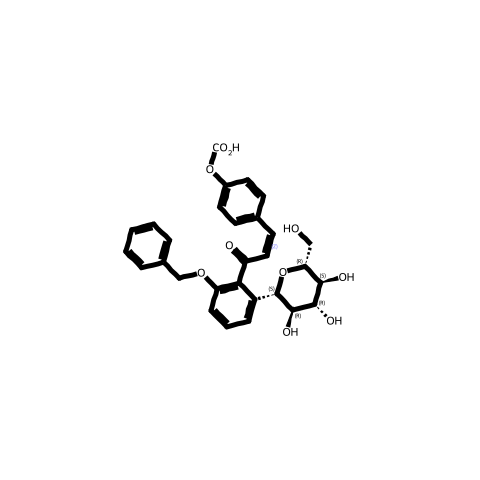 O=C(O)Oc1ccc(/C=C\C(=O)c2c(OCc3ccccc3)cccc2[C@@H]2O[C@H](CO)[C@@H](O)[C@H](O)[C@H]2O)cc1